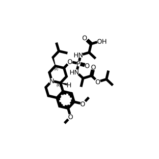 COc1cc2c(cc1OC)[C@H]1CC(OP(=O)(NC(C)C(=O)O)NC(C)C(=O)OC(C)C)[C@H](CC(C)C)CN1CC2